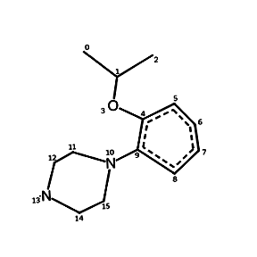 CC(C)Oc1ccccc1N1CC[N]CC1